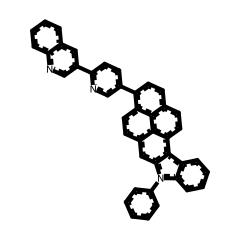 c1ccc(-n2c3ccccc3c3c4ccc5ccc(-c6ccc(-c7cnc8ccccc8c7)nc6)c6ccc(cc32)c4c56)cc1